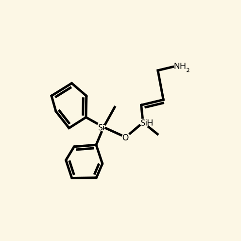 C[SiH](C=CCN)O[Si](C)(c1ccccc1)c1ccccc1